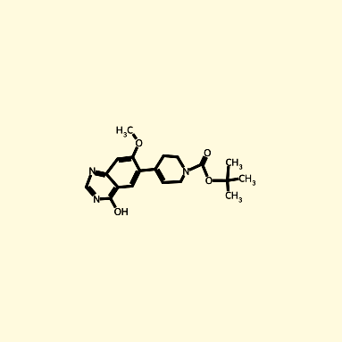 COc1cc2ncnc(O)c2cc1C1=CCN(C(=O)OC(C)(C)C)CC1